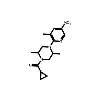 Cc1cc([N+](=O)[O-])cnc1N1CC(C)N(C(=O)C2CC2)CC1C